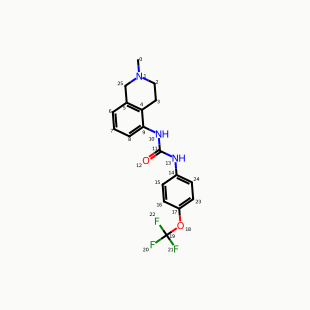 CN1CCc2c(cccc2NC(=O)Nc2ccc(OC(F)(F)F)cc2)C1